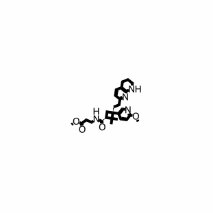 COC(=O)CCNC(=O)[C@@H]1C[C@@](CCc2ccc3c(n2)NCCC3)(c2ccc(OC)nc2)C1(C)C